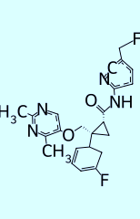 Cc1ncc(OC[C@@]2(C3C=CC=C(F)C3)C[C@H]2C(=O)Nc2ccc(CF)cn2)c(C)n1